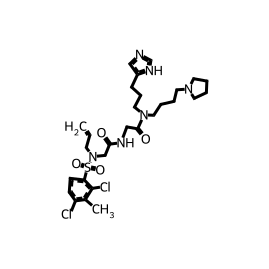 C=CCN(CC(=O)NCC(=O)N(CCCCN1CCCC1)CCCc1cnc[nH]1)S(=O)(=O)c1ccc(Cl)c(C)c1Cl